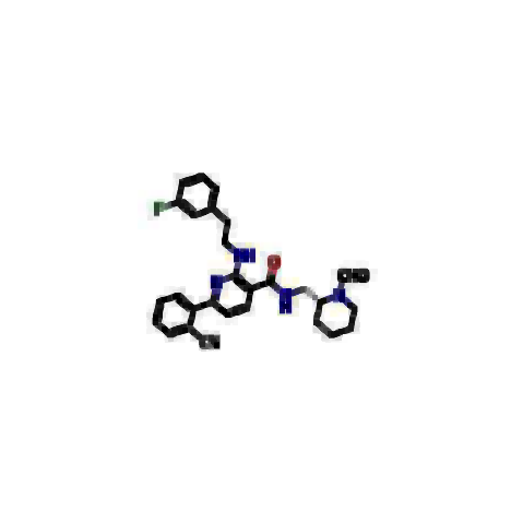 N#Cc1ccccc1-c1ccc(C(=O)NC[C@H]2CCCCN2C=O)c(NCCc2cccc(F)c2)n1